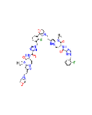 CN1C(=O)[C@@H](NC(=O)c2ncn(CC3=C(F)C(C45CC(CO4)N(CCc4cc6n(n4)CC[C@@H](NC(=O)c4ncn(Cc7ccccc7F)n4)C(=O)N6C)C5)=CCC3)n2)CCn2nc(CCN3CC4CC3CO4)cc21